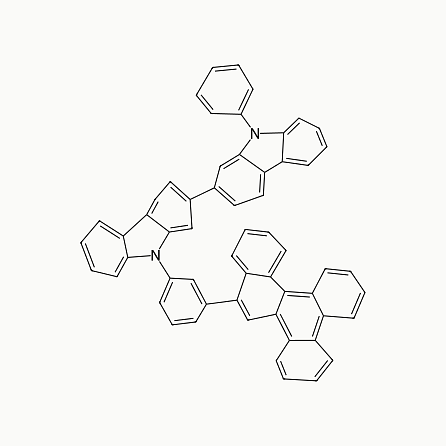 c1ccc(-n2c3ccccc3c3ccc(-c4ccc5c6ccccc6n(-c6cccc(-c7cc8c9ccccc9c9ccccc9c8c8ccccc78)c6)c5c4)cc32)cc1